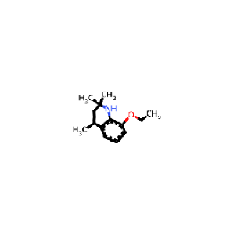 CCOc1cccc2c1NC(C)(C)CC2C